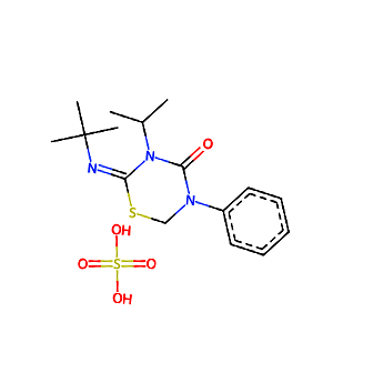 CC(C)N1C(=O)N(c2ccccc2)CSC1=NC(C)(C)C.O=S(=O)(O)O